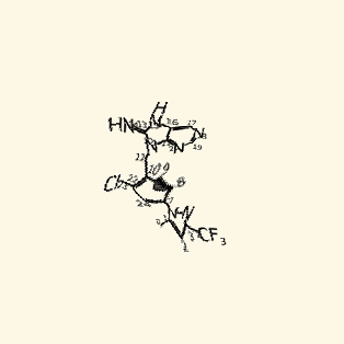 Cc1cc(C(F)(F)F)nn1-c1ccc(Cn2c(=N)[nH]c3cncnc32)c(Cl)c1